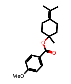 COc1ccc(C(=O)OC2(C)CCC(=C(C)C)CC2)cc1